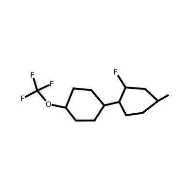 CC1CCC(C2CCC(OC(F)(F)F)CC2)C(F)C1